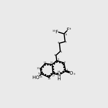 O=c1cc(CCCCC(F)F)c2ccc(O)cc2[nH]1